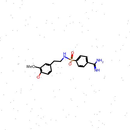 COc1cc(CCNS(=O)(=O)c2ccc(C(=N)N)cc2)ccc1[O]